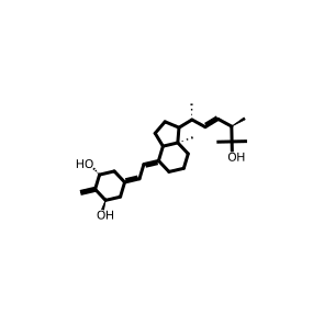 C=C1[C@H](O)CC(=C/C=C2\CCC[C@@]3(C)C2CCC3[C@H](C)/C=C/[C@@H](C)C(C)(C)O)C[C@H]1O